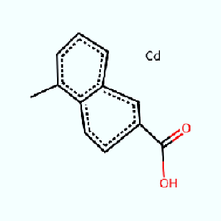 Cc1cccc2cc(C(=O)O)ccc12.[Cd]